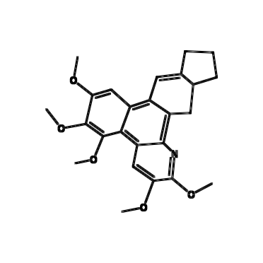 COc1cc2c(nc1OC)c1c(c3cc(OC)c(OC)c(OC)c32)C=C2CCCC2C1